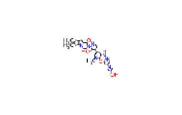 Cn1cc(-c2ccnc(N3CCn4c(cc5c4CC(C)(C)C5)C3=O)c2CO)cc(Nc2ccc(N3CC(O)C3)cn2)c1=O